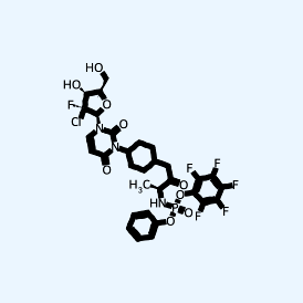 C[C@H](NP(=O)(Oc1ccccc1)Oc1c(F)c(F)c(F)c(F)c1F)C(=O)CC1CCC(n2c(=O)ccn([C@@H]3O[C@H](CO)[C@@H](O)[C@]3(F)Cl)c2=O)CC1